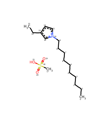 CCCCCCCCCCn1ccc(CC)c1.CS(=O)(=O)O